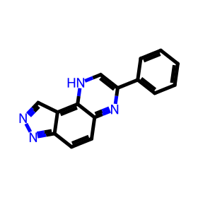 c1ccc(-c2c[nH]c3c(ccc4nncc43)n2)cc1